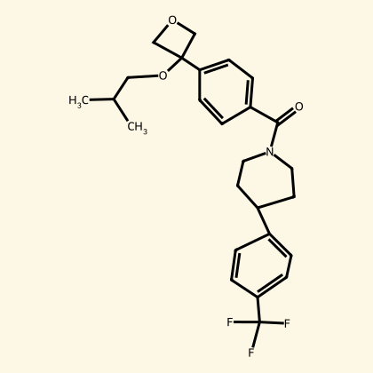 CC(C)COC1(c2ccc(C(=O)N3CCC(c4ccc(C(F)(F)F)cc4)CC3)cc2)COC1